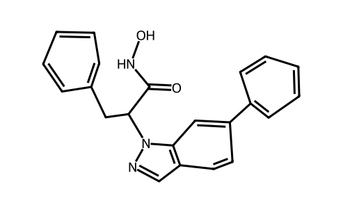 O=C(NO)C(Cc1ccccc1)n1ncc2ccc(-c3ccccc3)cc21